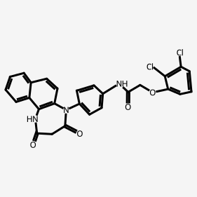 O=C(COc1cccc(Cl)c1Cl)Nc1ccc(N2C(=O)CC(=O)Nc3c2ccc2ccccc32)cc1